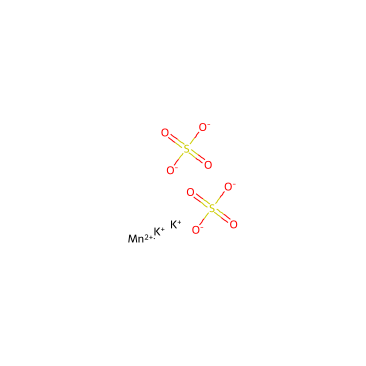 O=S(=O)([O-])[O-].O=S(=O)([O-])[O-].[K+].[K+].[Mn+2]